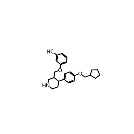 N#Cc1cccc(OCC2CNCCC2c2ccc(OCC3CCCC3)cc2)c1